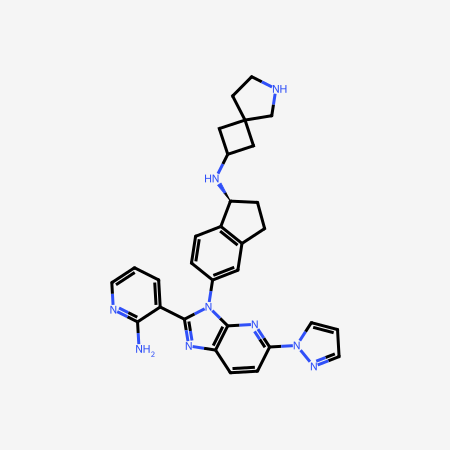 Nc1ncccc1-c1nc2ccc(-n3cccn3)nc2n1-c1ccc2c(c1)CC[C@@H]2NC1CC2(CCNC2)C1